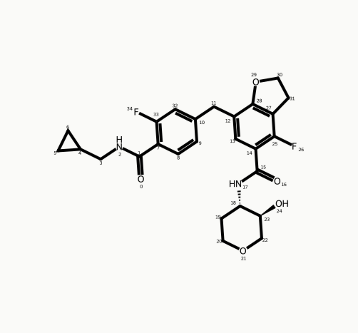 O=C(NCC1CC1)c1ccc(Cc2cc(C(=O)N[C@H]3CCOC[C@@H]3O)c(F)c3c2OCC3)cc1F